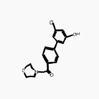 O=C(c1ccc(-c2cc(O)cc(Cl)c2)cc1)N1CCOCC1